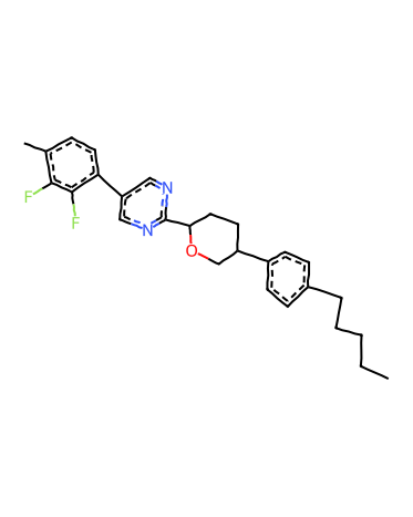 CCCCCc1ccc(C2CCC(c3ncc(-c4ccc(C)c(F)c4F)cn3)OC2)cc1